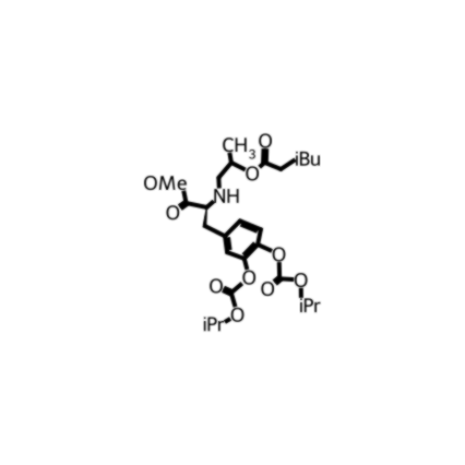 CCC(C)CC(=O)OC(C)CN[C@@H](Cc1ccc(OC(=O)OC(C)C)c(OC(=O)OC(C)C)c1)C(=O)OC